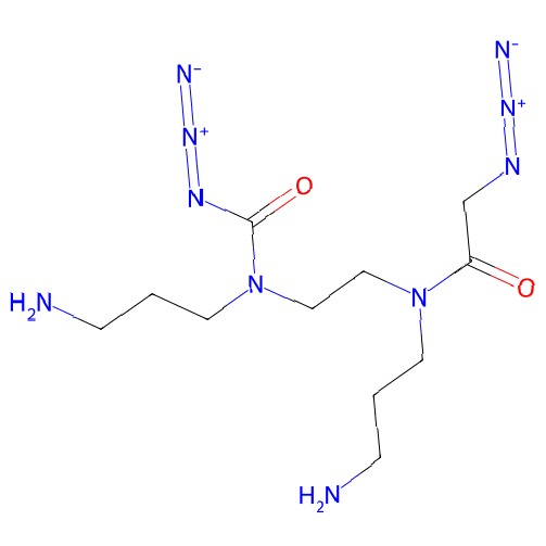 [N-]=[N+]=NCC(=O)N(CCCN)CCN(CCCN)C(=O)N=[N+]=[N-]